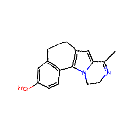 CC1=NCCn2c1cc1c2-c2ccc(O)cc2CC1